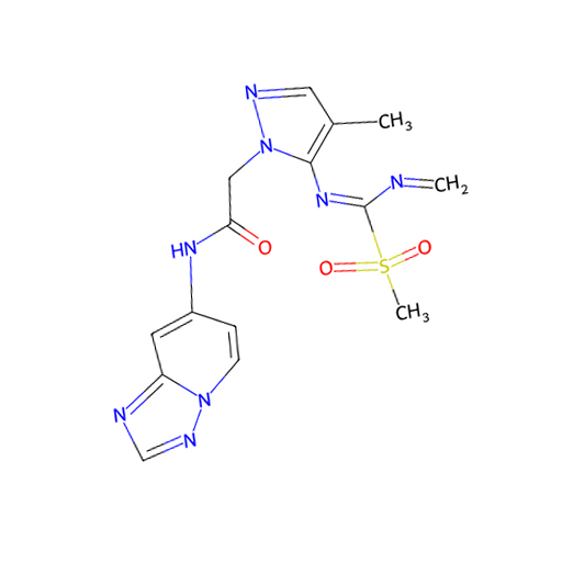 C=N/C(=N\c1c(C)cnn1CC(=O)Nc1ccn2ncnc2c1)S(C)(=O)=O